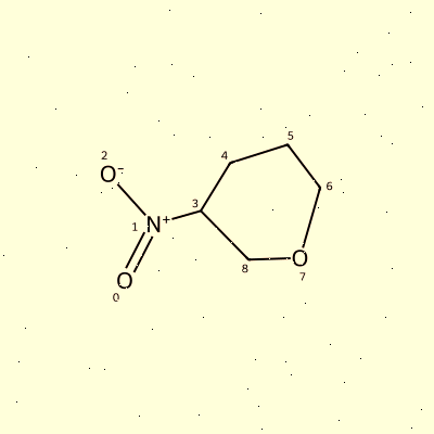 O=[N+]([O-])C1CCCOC1